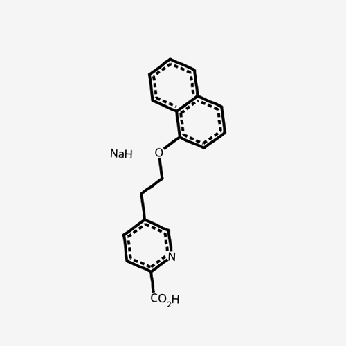 O=C(O)c1ccc(CCOc2cccc3ccccc23)cn1.[NaH]